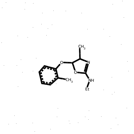 CCNC1=NC(C)C(Oc2ccccc2C)O1